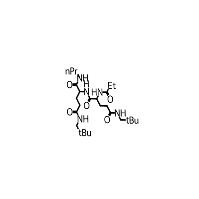 CCCNC(=O)C(CCC(=O)NCC(C)(C)C)NC(=O)C(CCC(=O)NCC(C)(C)C)NC(=O)CC